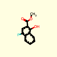 COC(=O)c1cc(F)c2ccccc2c1O